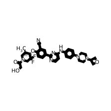 C[C@@H]1CN(C(=O)CO)CC(F)(F)[C@H]1Oc1ccc(-c2nccc(Nc3ccc(N4CCN(C5COC5)CC4)cc3)n2)cc1C#N